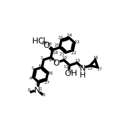 CN(C)c1ccc(CC(OCC(O)CNC2CC2)C(=O)c2ccccc2)cc1.Cl